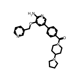 Nc1ncc(-c2ccc(C(=O)N3CCC(N4CCCC4)CC3)cc2)cc1OCc1cccnc1